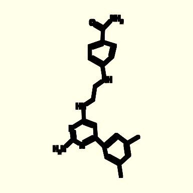 Cc1cc(C)cc(-c2cc(NCCNc3ccc(C(N)=O)cc3)nc(N)n2)c1